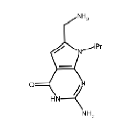 CC(C)n1c(CN)cc2c(=O)[nH]c(N)nc21